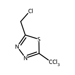 ClCc1nnc(C(Cl)(Cl)Cl)s1